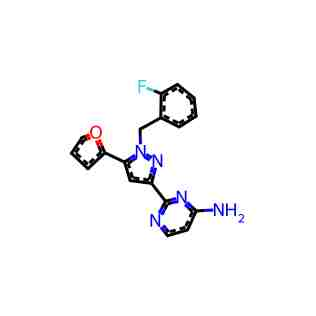 Nc1ccnc(-c2cc(-c3ccco3)n(Cc3ccccc3F)n2)n1